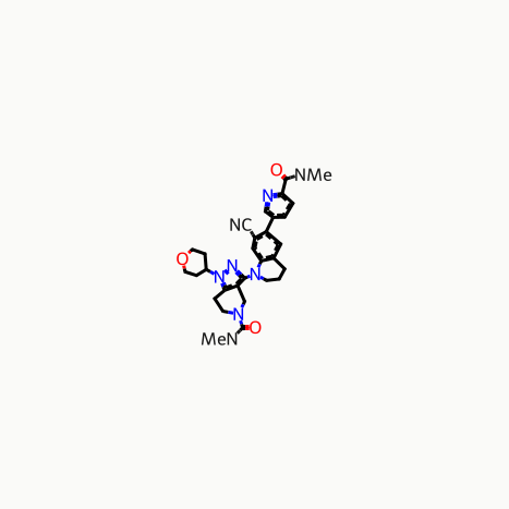 CNC(=O)c1ccc(-c2cc3c(cc2C#N)N(c2nn(C4CCOCC4)c4c2CN(C(=O)NC)CC4)CCC3)cn1